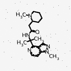 CN1CCCCC1CC(=O)NC(C)(C)c1nccc2c1cnn2C